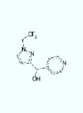 OC(c1ccncc1)c1ccn(CC(F)(F)F)n1